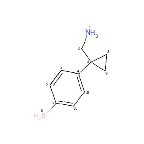 Bc1ccc(C2(CN)CC2)cc1